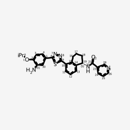 CC(C)Oc1ccc(-c2nnc(-c3cccc4c3CCC[C@@H]4NC(=O)c3cccnc3)s2)cc1N